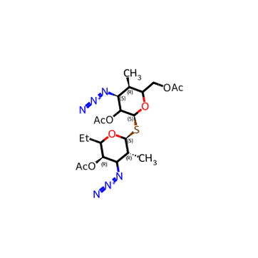 CCC1O[C@@H](S[C@@H]2OC(COC(C)=O)[C@H](C)[C@H](N=[N+]=[N-])C2OC(C)=O)[C@H](C)C(N=[N+]=[N-])[C@H]1OC(C)=O